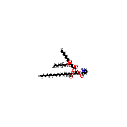 CCCCCC=CCC=CCCCCCCCC(=O)OC[C@H](COC(=O)CCC(OCCCCCCCC)OCCCCCCCC)COC(=O)C1CCCN1C